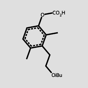 Cc1ccc(OC(=O)O)c(C)c1CCOCC(C)C